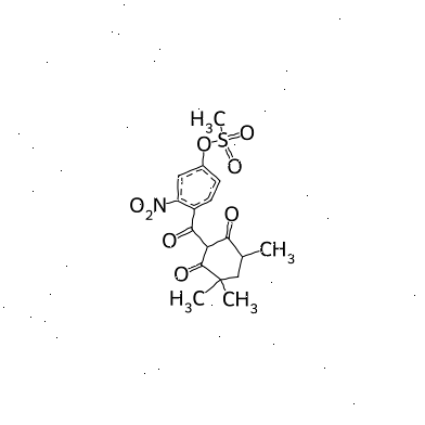 CC1CC(C)(C)C(=O)C(C(=O)c2ccc(OS(C)(=O)=O)cc2[N+](=O)[O-])C1=O